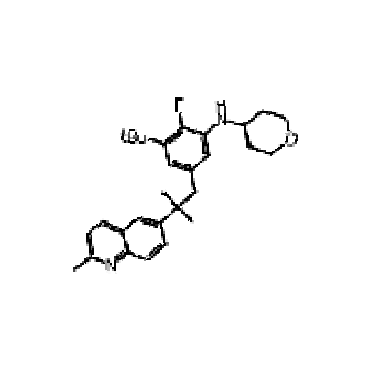 Cc1ccc2cc(C(C)(C)Cc3cc(NC4CCOCC4)c(F)c(C(C)(C)C)c3)ccc2n1